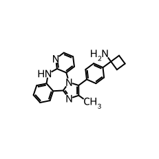 Cc1nc2n(c1-c1ccc(C3(N)CCC3)cc1)-c1cccnc1Nc1ccccc1-2